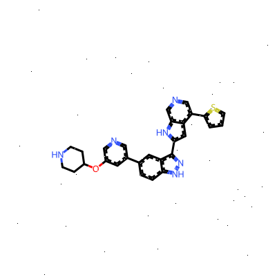 c1csc(-c2cncc3[nH]c(-c4n[nH]c5ccc(-c6cncc(OC7CCNCC7)c6)cc45)cc23)c1